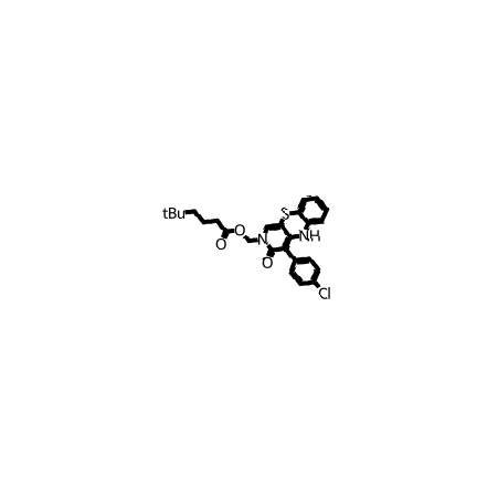 CC(C)(C)CCCC(=O)OCn1cc2c(c(-c3ccc(Cl)cc3)c1=O)Nc1ccccc1S2